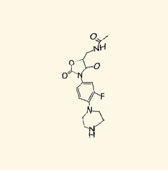 CC(=O)NCC1OC(=O)N(c2ccc(N3CCNCC3)c(F)c2)C1=O